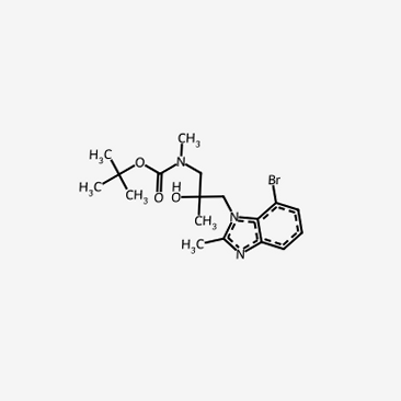 Cc1nc2cccc(Br)c2n1CC(C)(O)CN(C)C(=O)OC(C)(C)C